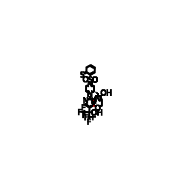 O=S(=O)(C1=CC=CCC1=S)N1CCN(c2ncc(C(O)(C(F)(F)F)C(F)(F)F)cn2)[C@@H](CN2C3COCC2C(O)C3)C1